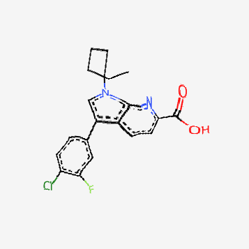 CC1(n2cc(-c3ccc(Cl)c(F)c3)c3ccc(C(=O)O)nc32)CCC1